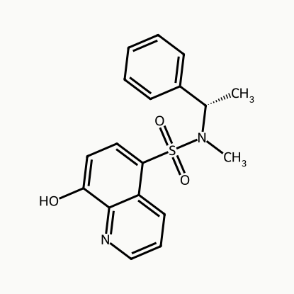 C[C@@H](c1ccccc1)N(C)S(=O)(=O)c1ccc(O)c2ncccc12